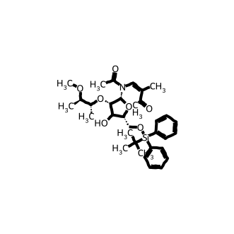 CO[C@H](C)[C@@H](C)O[C@H]1C(O)[C@@H](CO[Si](c2ccccc2)(c2ccccc2)C(C)(C)C)O[C@H]1N(/C=C(/C)C(C)=O)C(C)=O